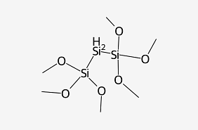 CO[Si](OC)(OC)[SiH2][Si](OC)(OC)OC